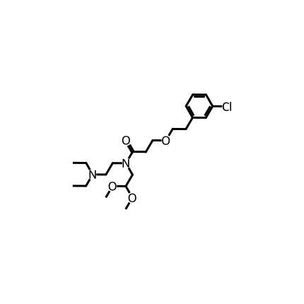 CCN(CC)CCN(CC(OC)OC)C(=O)CCOCCc1cccc(Cl)c1